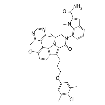 Cc1cc(OCCCc2c3n(c4c(-c5c(C)ncnc5C)c(Cl)ccc24)C(C)CN(c2cccc4cc(C(N)=O)n(C)c24)C3=O)cc(C)c1Cl